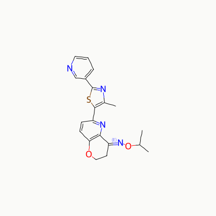 Cc1nc(-c2cccnc2)sc1-c1ccc2c(n1)/C(=N/OC(C)C)CCO2